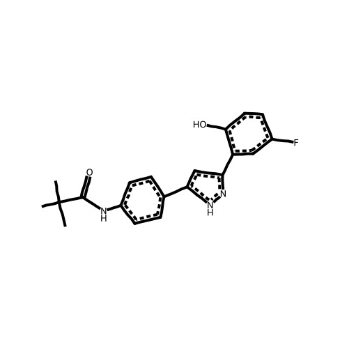 CC(C)(C)C(=O)Nc1ccc(-c2cc(-c3cc(F)ccc3O)n[nH]2)cc1